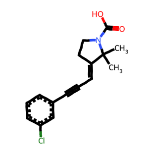 CC1(C)/C(=C/C#Cc2cccc(Cl)c2)CCN1C(=O)O